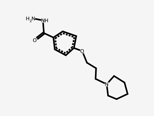 NNC(=O)c1ccc(OCCCN2CCCCC2)cc1